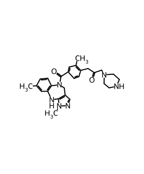 Cc1ccc2c(c1)Nc1c(cnn1C)CN2C(=O)c1ccc(CC(=O)CN2CCNCC2)c(C)c1